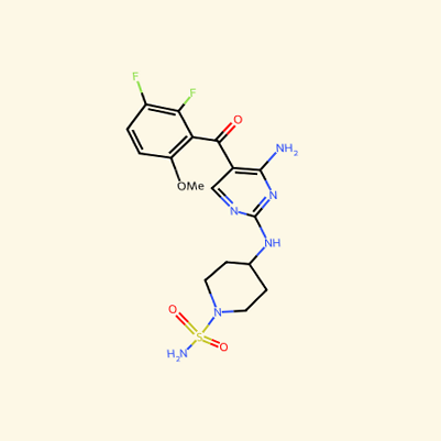 COc1ccc(F)c(F)c1C(=O)c1cnc(NC2CCN(S(N)(=O)=O)CC2)nc1N